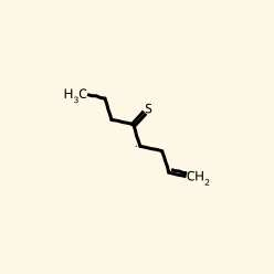 C=CC[CH]C(=S)CCC